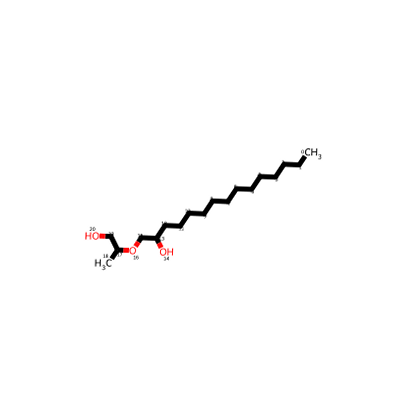 CCCCCCCCCCCCCC(O)COC(C)CO